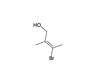 CC(Br)=C(C)CO